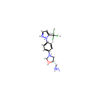 NC[C@H]1CN(c2ccc(-n3nccc3C(F)(F)F)cc2)CO1